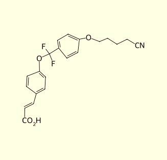 N#CCCCCOc1ccc(C(F)(F)Oc2ccc(C=CC(=O)O)cc2)cc1